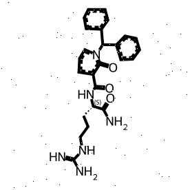 N=C(N)NCCC[C@H](NC(=O)c1cccn(C(c2ccccc2)c2ccccc2)c1=O)C(N)=O